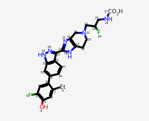 CCc1cc(O)c(F)cc1-c1ccc2c(-c3nc4c([nH]3)CCN(CC(F)CNC(=O)O)C4)n[nH]c2c1